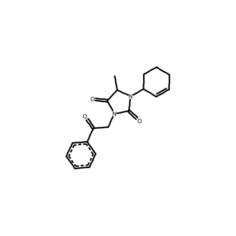 CC1C(=O)N(CC(=O)c2ccccc2)C(=O)N1C1C=CCCC1